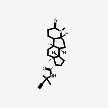 C#CC(C)(C)NC(=O)[C@H]1CC[C@H]2[C@@H]3CC[C@H]4N(C)C(=O)CC[C@]4(C)[C@H]3CC[C@]12C